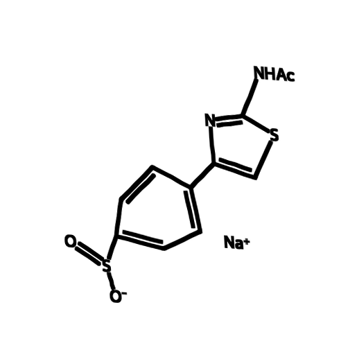 CC(=O)Nc1nc(-c2ccc(S(=O)[O-])cc2)cs1.[Na+]